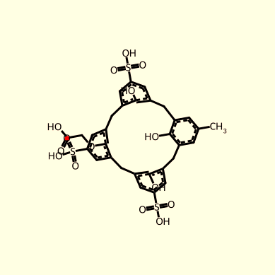 Cc1cc2c(O)c(c1)Cc1cc(S(=O)(=O)O)cc(c1O)Cc1cc(S(=O)(=O)O)cc(c1OCC(=O)O)Cc1cc(S(=O)(=O)O)cc(c1O)C2